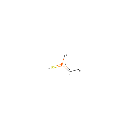 C/C=P(\C)=S